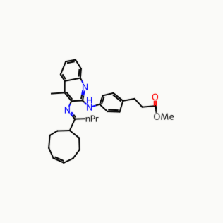 CCC/C(=N\c1c(Nc2ccc(CCC(=O)OC)cc2)nc2ccccc2c1C)C1CCC/C=C\CCC1